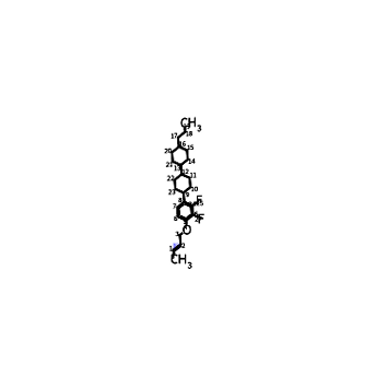 C/C=C/COc1ccc(C2CCC(C3CCC(CCC)CC3)CC2)c(F)c1F